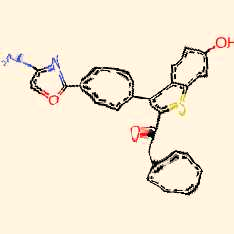 Nc1coc(-c2ccc(-c3c(C(=O)c4ccccc4)sc4cc(O)ccc34)cc2)n1